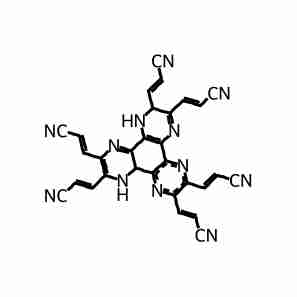 N#C/C=C/C1=NC2=C(NC1/C=C/C#N)C1=NC(/C=C/C#N)=C(/C=C/C#N)NC1c1nc(/C=C/C#N)c(/C=C/C#N)nc12